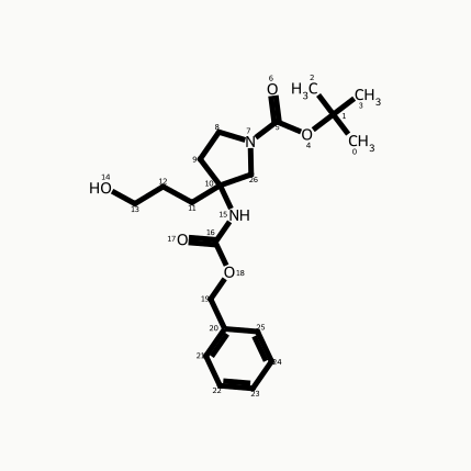 CC(C)(C)OC(=O)N1CCC(CCCO)(NC(=O)OCc2ccccc2)C1